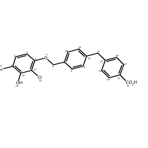 CC(=O)c1ccc(OCc2ccc(Cc3ccc(C(=O)O)cc3)cc2)c(Cl)c1O